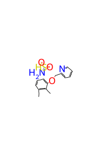 Cc1cccc(OCc2ccccn2)c1C.N[SH](=O)=O